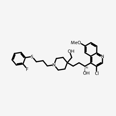 COc1ccc2ncc(Cl)c([C@H](O)CCC3(CO)CCN(CCCSc4ccccc4F)CC3)c2c1